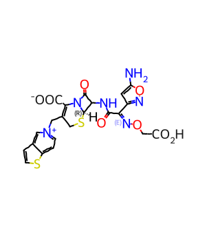 Nc1cc(/C(=N\OCC(=O)O)C(=O)NC2C(=O)N3C(C(=O)[O-])=C(C[n+]4ccc5sccc5c4)CS[C@H]23)no1